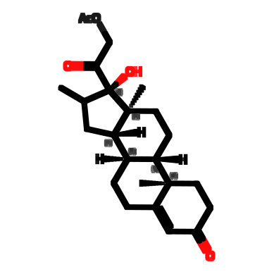 CC(=O)OCC(=O)[C@@]1(O)C(C)C[C@H]2[C@@H]3CCC4=CC(=O)CC[C@]4(C)[C@H]3CC[C@@]21C